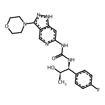 C[C@@H](O)[C@@H](NC(=O)Nc1cc2[nH]nc(N3CCOCC3)c2cn1)c1ccc(F)cc1